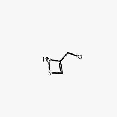 ClCc1cs[nH]1